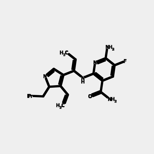 C=CC1=C(/C(=C\C)Nc2nc(N)c(F)cc2C(N)=O)C=NC1CC(C)C